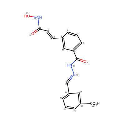 O=C(/C=C/c1cccc(C(=O)N/N=C/c2cccc(C(=O)O)c2)c1)NO